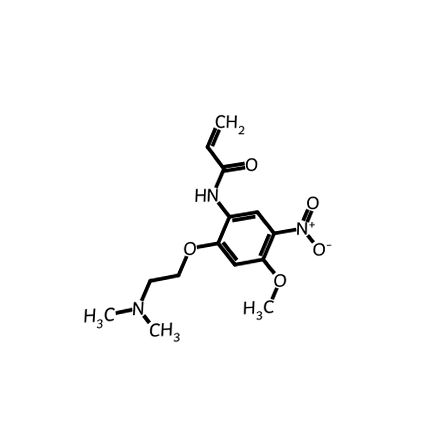 C=CC(=O)Nc1cc([N+](=O)[O-])c(OC)cc1OCCN(C)C